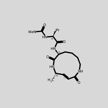 CNC(=O)N[C@H](C(=O)N[C@H]1CCCCNC(=O)/C=C/[C@H](C)NC1=O)C(C)C